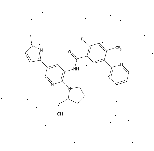 Cn1ccc(-c2cnc(N3CCCC3CO)c(NC(=O)c3cc(-c4ncccn4)c(C(F)(F)F)cc3F)c2)n1